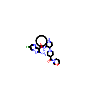 Nc1nn2cc(F)cnc2c1C(=O)NC1C(N2CCC(C(=O)N3CCCOC3)CC2)CCNC12CCCCCCCCCC2